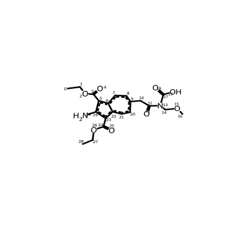 CCOC(=O)c1c2ccc(CC(=O)N(COC)C(=O)O)ccc-2c(C(=O)OCC)c1N